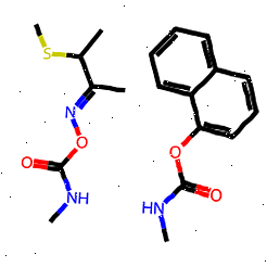 CNC(=O)O/N=C(\C)C(C)SC.CNC(=O)Oc1cccc2ccccc12